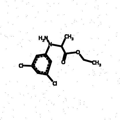 CCOC(=O)C(C)N(N)c1cc(Cl)cc(Cl)c1